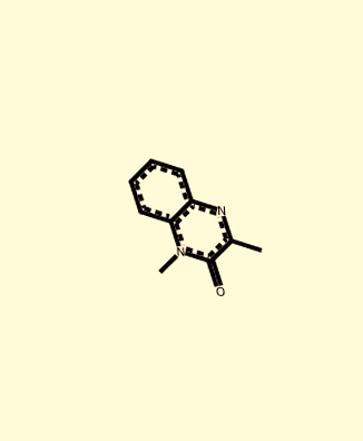 Cc1nc2ccccc2n(C)c1=O